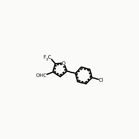 O=Cc1cc(-c2ccc(Cl)cc2)oc1C(F)(F)F